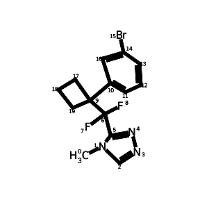 Cn1cnnc1C(F)(F)C1(c2cccc(Br)c2)CCC1